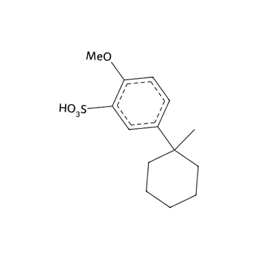 COc1ccc(C2(C)CCCCC2)cc1S(=O)(=O)O